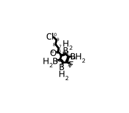 Bc1c(B)c(C(=O)CCCCl)c(B)c(B)c1F